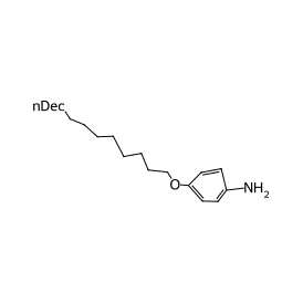 CCCCCCCCCCCCCCCCCCOc1ccc(N)cc1